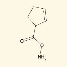 NOC(=O)C1C=CCC1